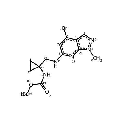 Cn1ncc2c(Br)cc(NCC3(NC(=O)OC(C)(C)C)CC3)nc21